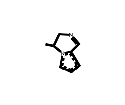 CC1CN=Cc2cccn21